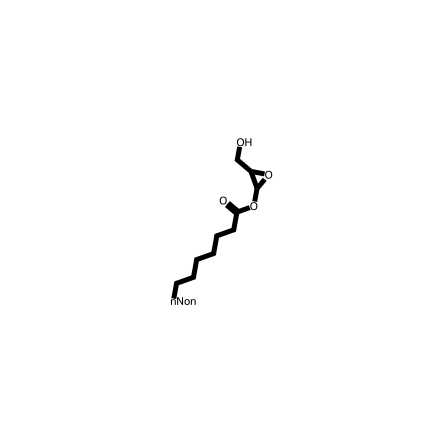 CCCCCCCCCCCCCCCC(=O)OC1OC1CO